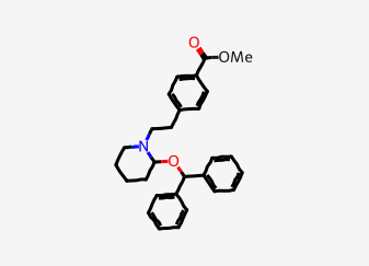 COC(=O)c1ccc(CCN2CCCCC2OC(c2ccccc2)c2ccccc2)cc1